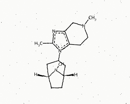 Cc1nc2c(n1C1C[C@H]3CC[C@@H](C1)N3C)CCN(C)C2